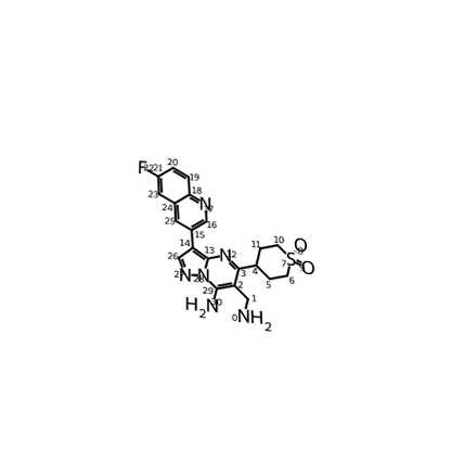 NCc1c(C2CCS(=O)(=O)CC2)nc2c(-c3cnc4ccc(F)cc4c3)cnn2c1N